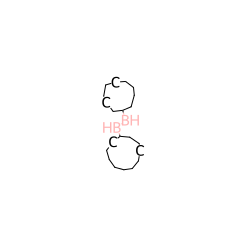 B(BC1CCCCCCCCC1)C1CCCCCCCCCC1